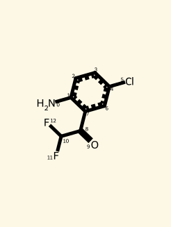 Nc1ccc(Cl)cc1C(=O)C(F)F